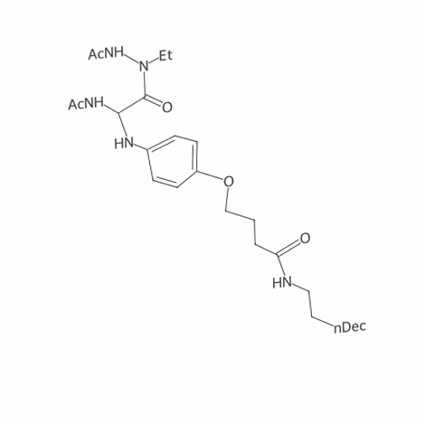 CCCCCCCCCCCCNC(=O)CCCOc1ccc(NC(NC(C)=O)C(=O)N(CC)NC(C)=O)cc1